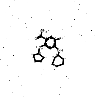 NC(=O)c1cc(F)c(NC2CCCCC2)cc1NC1CCCC1